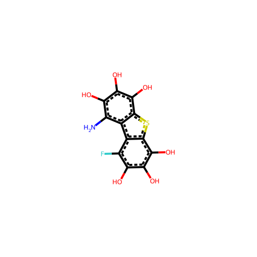 Nc1c(O)c(O)c(O)c2sc3c(O)c(O)c(O)c(F)c3c12